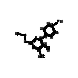 [CH2]Cc1cn(CCF)cc(-c2ccc(F)cc2)c1=O